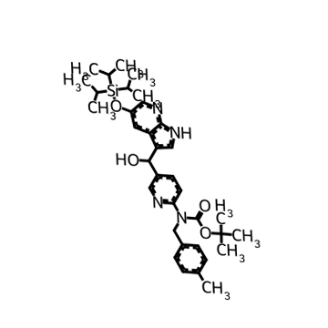 Cc1ccc(CN(C(=O)OC(C)(C)C)c2ccc(C(O)c3c[nH]c4ncc(O[Si](C(C)C)(C(C)C)C(C)C)cc34)cn2)cc1